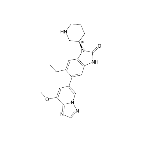 CCc1cc2c(cc1-c1cc(OC)c3ncnn3c1)[nH]c(=O)n2[C@@H]1CCCNC1